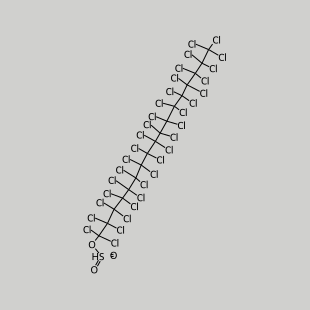 O=[SH](=O)OC(Cl)(Cl)C(Cl)(Cl)C(Cl)(Cl)C(Cl)(Cl)C(Cl)(Cl)C(Cl)(Cl)C(Cl)(Cl)C(Cl)(Cl)C(Cl)(Cl)C(Cl)(Cl)C(Cl)(Cl)C(Cl)(Cl)C(Cl)(Cl)C(Cl)(Cl)C(Cl)(Cl)C(Cl)(Cl)C(Cl)(Cl)Cl